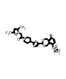 Cc1cc(C(F)(F)F)nn1CC(=O)N1CCC(c2nc(C3OCc4c(Br)ccc(OS(C)(=O)=O)c4CO3)cs2)CC1